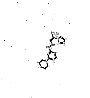 CCOC(=O)C(=CNNc1cc(N2CCOCC2)ncn1)n1ccnn1